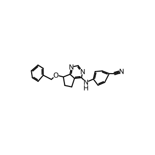 N#Cc1ccc(Nc2ncnc3c2CCC3OCc2ccccc2)cc1